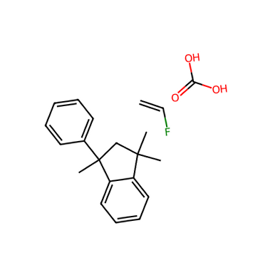 C=CF.CC1(C)CC(C)(c2ccccc2)c2ccccc21.O=C(O)O